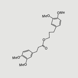 COc1ccc(CCCOC(=O)CCc2ccc(OC)c(OC)c2)cc1OC